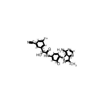 Cc1nn(-c2ccc(NC(=O)[C@H](O)c3cc(F)cc(C#N)c3)cc2Cl)c2c(N)ncnc12